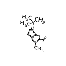 Cc1cc2ccn(CC(C)(C)C)c2cc1F